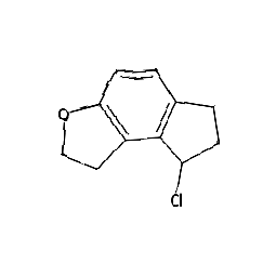 ClC1CCc2ccc3c(c21)CCO3